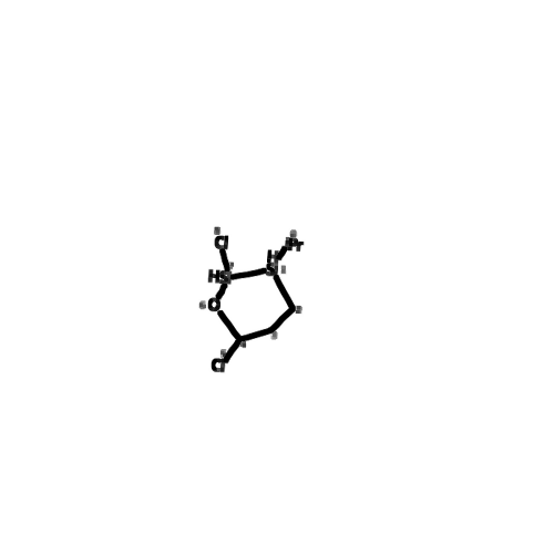 CC(C)[SiH]1CCC(Cl)O[SiH]1Cl